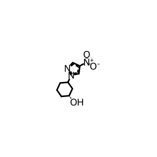 O=[N+]([O-])c1cnn(C2CCC[C@@H](O)C2)c1